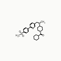 CN(Cc1ccc(-c2ccc(S(C)(=O)=O)cc2)nc1)C1CCN(C(=O)C2CCCCC2)CC1